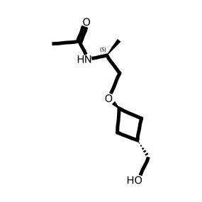 CC(=O)N[C@@H](C)CO[C@H]1C[C@H](CO)C1